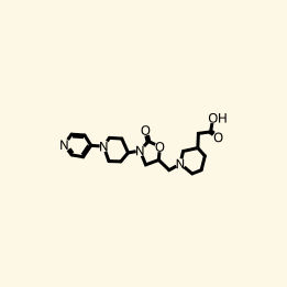 O=C(O)CC1CCCN(CC2CN(C3CCN(c4ccncc4)CC3)C(=O)O2)C1